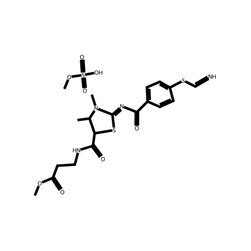 COC(=O)CCNC(=O)C1SC(=NC(=O)c2ccc(SC=N)cc2)N(C)C1C.COS(=O)(=O)O